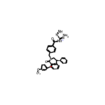 CC(Oc1ccc(OC(F)(F)F)cc1)C(=O)N(Cc1ccc(C(=O)N/C(N=N)=N/N)cc1)CC(c1ccccc1)c1ccccc1